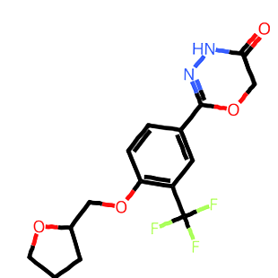 O=C1COC(c2ccc(OCC3CCCO3)c(C(F)(F)F)c2)=NN1